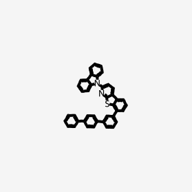 c1ccc(-c2ccc(-c3cccc(-c4cccc5c4sc4nc(-n6c7ccccc7c7ccccc76)ccc45)c3)cc2)cc1